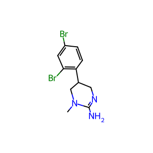 CN1CC(c2ccc(Br)cc2Br)CN=C1N